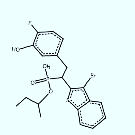 CCC(C)OP(=O)(O)C(Cc1ccc(F)c(O)c1)c1sc2ccccc2c1Br